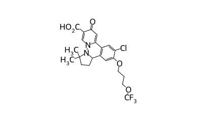 CC1(C)CCC2c3cc(OCCCOC(F)(F)F)c(Cl)cc3-c3cc(=O)c(C(=O)O)cn3N21